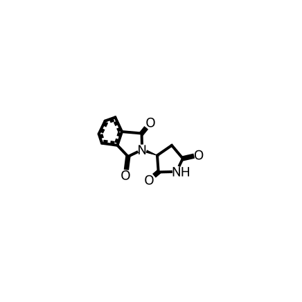 O=C1C[C@H](N2C(=O)c3ccccc3C2=O)C(=O)N1